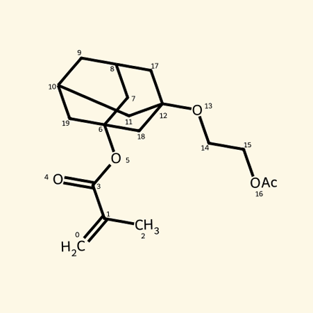 C=C(C)C(=O)OC12CC3CC(CC(OCCOC(C)=O)(C3)C1)C2